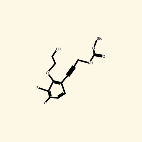 CC(C)(C)OC(=O)NCC#Cc1ccc(F)c(F)c1OCCO